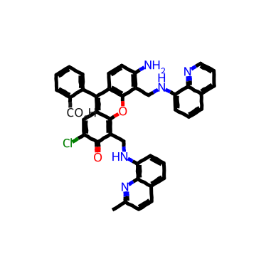 Cc1ccc2cccc(NCc3c4oc5c(CNc6cccc7cccnc67)c(N)ccc5c(-c5ccccc5C(=O)O)c-4cc(Cl)c3=O)c2n1